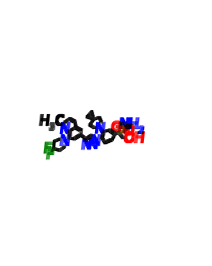 Cc1ccc2cc(-c3cn(-c4ccc(C(CO)S(N)(=O)=O)cc4N4CCC5(CC4)CC5)nn3)cc(N3CCC(F)(F)CC3)c2n1